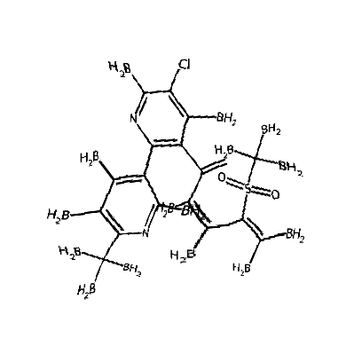 BC(B)=C(/C(B)=C(/B)C(=C)c1c(-c2c(B)nc(C(B)(B)B)c(B)c2B)nc(B)c(Cl)c1B)S(=O)(=O)C(B)(B)B